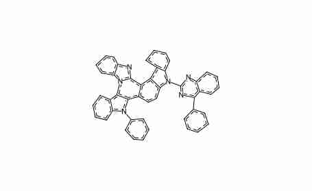 c1ccc(-c2nc(-n3c4ccccc4c4c5c(ccc43)c3c(c4ccccc4n3-c3ccccc3)n3c4ccccc4nc53)nc3ccccc23)cc1